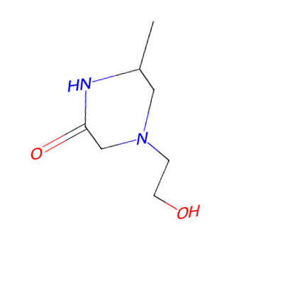 CC1CN(CCO)CC(=O)N1